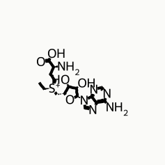 CC[S@@+](CC[C@H](N)C(=O)O)C[C@H]1O[C@@H](n2cnc3c(N)ncnc32)[C@H](O)[C@@H]1O